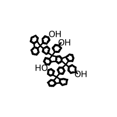 Oc1ccc(C2(c3ccc(C4(c5ccc(O)cc5)c5ccccc5-c5cc6c(cc54)-c4ccccc4C6(c4ccc(O)cc4)c4ccc(C5(c6ccc(O)cc6)c6ccccc6-c6ccccc65)cc4)cc3)c3ccccc3-c3ccccc32)cc1